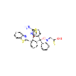 Nc1nc(-c2c(-c3nc4ccccc4s3)cccc2C(ON=CC(O)=S)(c2ccccc2)c2ccccc2)cs1